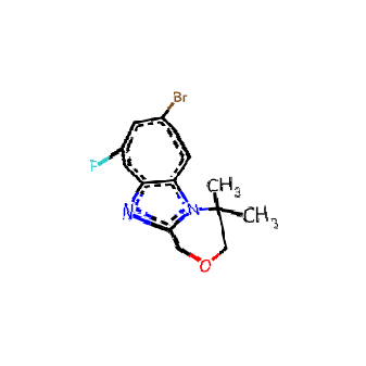 CC1(C)COCc2nc3c(F)cc(Br)cc3n21